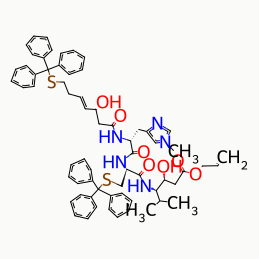 C=CCOC(=O)C[C@H](O)[C@H](NC(=O)[C@@H](CSC(c1ccccc1)(c1ccccc1)c1ccccc1)NC(=O)[C@@H](Cc1cn(C)cn1)NC(=O)C[C@H](O)/C=C/CCSC(c1ccccc1)(c1ccccc1)c1ccccc1)C(C)C